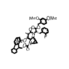 COc1ccc(COC(=O)[C@H](Cc2ccccc2F)NC(=O)[C@H](C)[C@@H](OC)C2CC3CC3N2C(=O)OCC2c3ccccc3-c3ccccc32)c(OC)c1